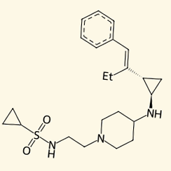 CC/C(=C\c1ccccc1)[C@@H]1C[C@H]1NC1CCN(CCNS(=O)(=O)C2CC2)CC1